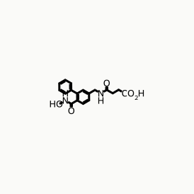 O=C(O)CCC(=O)NCc1ccc(C(=O)NO)c(-c2ccccc2)c1